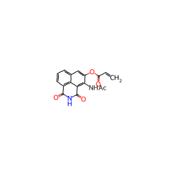 C=CC(=O)Oc1cc2cccc3c2c(c1NC(C)=O)C(=O)NC3=O